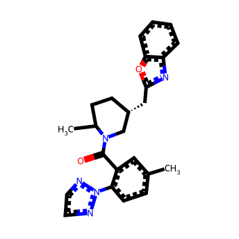 Cc1ccc(-n2nccn2)c(C(=O)N2C[C@@H](Cc3nc4ccccc4o3)CCC2C)c1